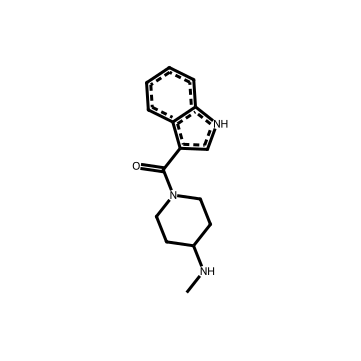 CNC1CCN(C(=O)c2c[nH]c3ccccc23)CC1